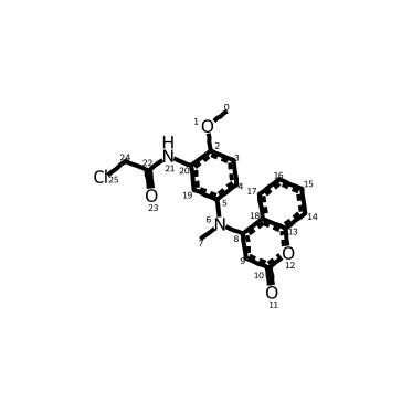 COc1ccc(N(C)c2cc(=O)oc3ccccc23)cc1NC(=O)CCl